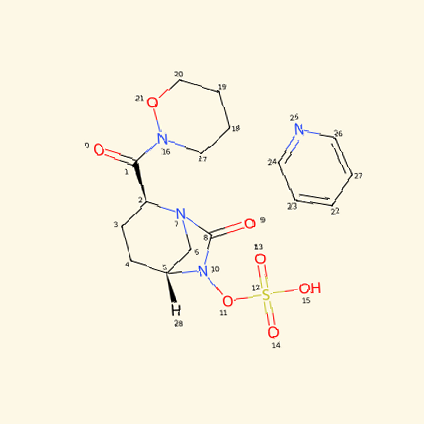 O=C([C@@H]1CC[C@@H]2CN1C(=O)N2OS(=O)(=O)O)N1CCCCO1.c1ccncc1